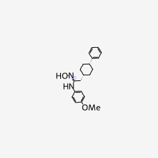 COc1ccc(N/C(C[C@H]2CC[C@@H](c3ccccc3)CC2)=N\O)cc1